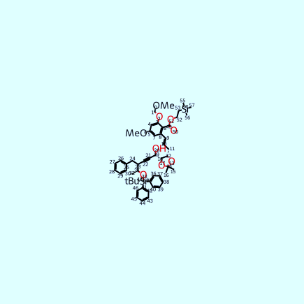 COCOc1cc(OC)cc(/C=C/C[C@@H]2OC(C)(C)O[C@@H]2C(O)C#CC(Cc2ccccc2)[C@H](C)O[Si](c2ccccc2)(c2ccccc2)C(C)(C)C)c1C(=O)OCC[Si](C)(C)C